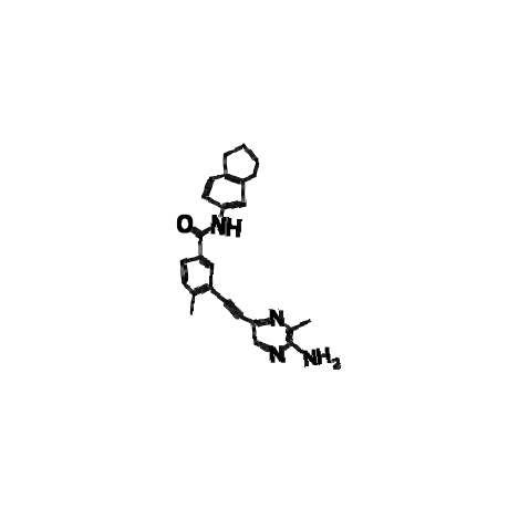 Cc1ccc(C(=O)Nc2ccc3c(c2)CCCC3)cc1C#Cc1cnc(N)c(C)n1